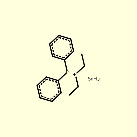 CC[P]CC.[SnH2].c1ccc([P]c2ccccc2)cc1